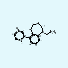 NC[C@@H]1OCCCc2c(-c3cnccn3)cccc21